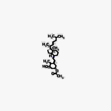 C=C1/C(=C\C=C2/CCC[C@]3(C)[C@@H]([C@H](C)/C=C/CC(C)C)CC[C@@H]23)C[C@H](OC(C)=O)C[C@H]1O